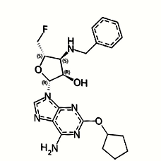 Nc1nc(OC2CCCC2)nc2c1ncn2[C@@H]1O[C@H](CF)[C@@H](NCc2ccccc2)[C@H]1O